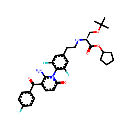 CC(C)(C)OC[C@H](NCCc1cc(F)c(-n2c(N)c(C(=O)c3ccc(F)cc3)ccc2=O)c(F)c1)C(=O)OC1CCCC1